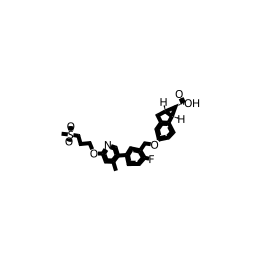 Cc1cc(OCCCS(C)(=O)=O)ncc1-c1ccc(F)c(COc2ccc3c(c2)C[C@H]2[C@H](C(=O)O)[C@@H]32)c1